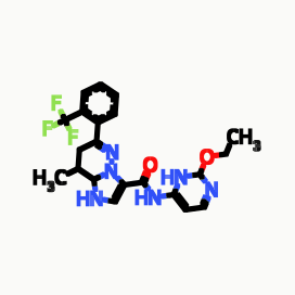 CCOC1N=CC=C(NC(=O)C2=CNC3C(C)CC(c4ccccc4C(F)(F)F)=NN23)N1